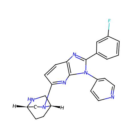 Fc1cccc(-c2nc3ccc(N4C[C@@H]5CC[C@H]4CN5)nc3n2-c2ccncc2)c1